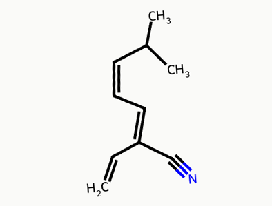 C=C/C(C#N)=C\C=C/C(C)C